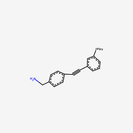 CCCCCCc1c[c]cc(C#Cc2ccc(CN)cc2)c1